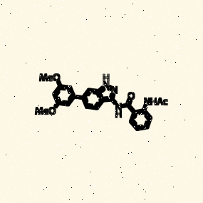 COc1cc(OC)cc(-c2ccc3c(NC(=O)c4ccccc4NC(C)=O)n[nH]c3c2)c1